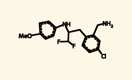 COc1ccc(NC(Cc2ccc(Cl)cc2CN)C(F)F)cc1